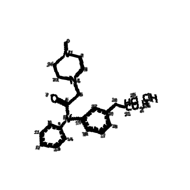 CN1CCN(CC(=O)N(c2ccccc2)c2cccc(CC(=O)O)c2)CC1.Cl.Cl